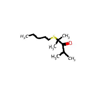 CCCCCSC(C)(C)C(=O)C(C)C